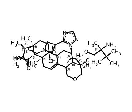 CCN1CC(c2ncnn2[C@@H]2C[C@@]34COC[C@](C)([C@@H]3CC[C@H]3C4=CC[C@@]4(C)[C@H](C(=O)O)[C@@](C)([C@H](C)C(C)C)CC[C@]34C)[C@H]2OC[C@](C)(N)C(C)(C)C)C1